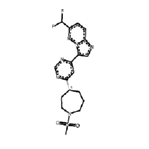 CS(=O)(=O)N1CCC[C@@H](c2cc(-c3cnc4ccc(C(F)F)nn34)ncn2)CC1